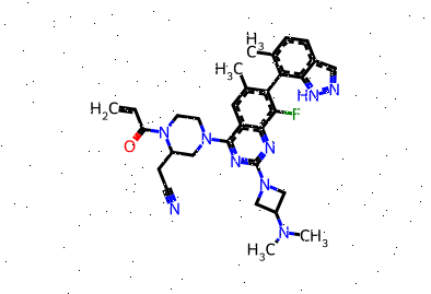 C=CC(=O)N1CCN(c2nc(N3CC(N(C)C)C3)nc3c(F)c(-c4c(C)ccc5cn[nH]c45)c(C)cc23)CC1CC#N